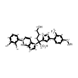 CCCOc1ccc(-c2cc(C(CCCO)(C(=O)O)n3cnc4c3C=CN(c3cccc(F)c3F)N4)on2)c(C(F)(F)F)c1